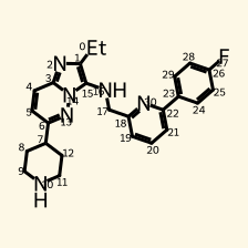 CCc1nc2ccc(C3CCNCC3)nn2c1NCc1cccc(-c2ccc(F)cc2)n1